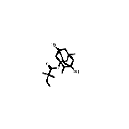 CCC(C)(C)C(=O)OC12CC3(C)CC(O)(CC(O)(C3)C1C)C2